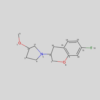 COC1CCN(C2COc3cc(F)ccc3C2)C1